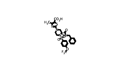 Cc1nc(N2CCN(S(=O)(=O)c3ccc(OC(F)(F)F)cc3)[C@@H](C(=O)NCc3ccccc3)C2)sc1C(=O)O